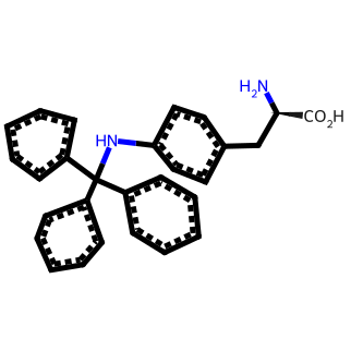 N[C@H](Cc1ccc(NC(c2ccccc2)(c2ccccc2)c2ccccc2)cc1)C(=O)O